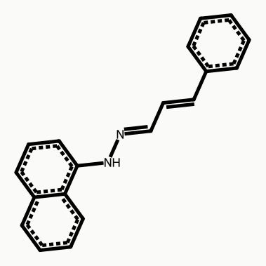 C(/C=C/c1ccccc1)=NNc1cccc2ccccc12